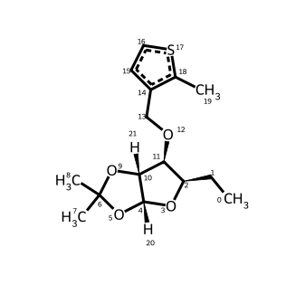 CC[C@H]1O[C@@H]2OC(C)(C)O[C@@H]2[C@H]1OCc1ccsc1C